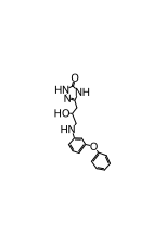 O=c1[nH]nc(CC(O)CNc2cccc(Oc3ccccc3)c2)[nH]1